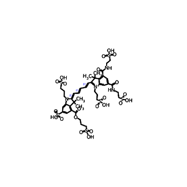 CC1(C)C(/C=C/C=C/C=C2/N(CCCS(=O)(=O)O)c3cc(S(=O)(=O)O)cc(C(=O)OCCCS(=O)(=O)O)c3C2(C)C)=[N+](CCCS(=O)(=O)O)c2cc(C(=O)NCCS(=O)(=O)O)cc(C(=O)NCCS(=O)(=O)O)c21